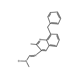 CCN(C)/C=N/c1cc2cccc(Cc3ccccc3)c2nc1C